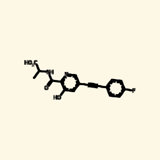 CC(NC(=O)c1ncc(C#Cc2ccc(F)cc2)cc1O)C(=O)O